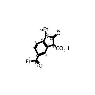 CCC(=O)c1ccc2c(c1)C(C(=O)O)C(=O)N2CC